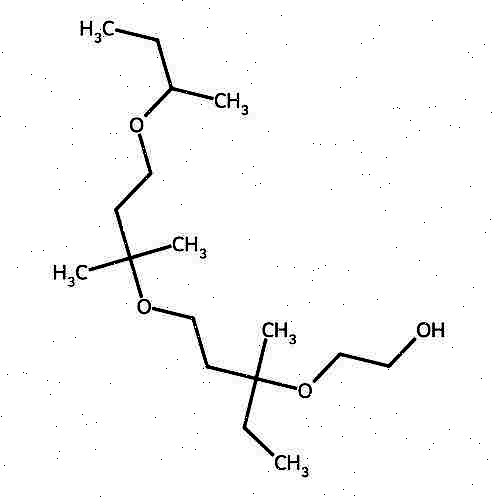 CCC(C)OCCC(C)(C)OCCC(C)(CC)OCCO